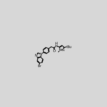 Cn1nc(C(C)(C)C)cc1NC(=O)Cc1ccc(-n2cnc3cc(Br)ccc32)cc1